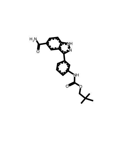 CC(C)(C)COC(=O)Nc1cccc(-c2n[nH]c3ccc(C(N)=O)cc23)c1